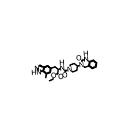 CCOC(=O)C(Cc1cc(C)c2[nH]ncc2c1)NC(=O)N1CCC(N2Cc3ccccc3NC2=O)CC1